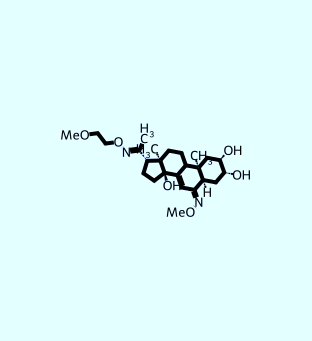 COCCO/N=C(\C)[C@H]1CC[C@@]2(O)C3=C/C(=N\OC)[C@@H]4C[C@@H](O)[C@@H](O)C[C@]4(C)C3CC[C@]12C